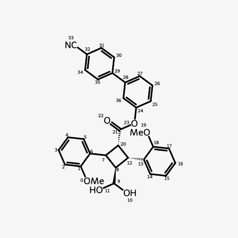 COc1ccccc1C1[C@H](C(O)O)[C@@H](c2ccccc2OC)[C@H]1C(=O)Oc1cccc(-c2ccc(C#N)cc2)c1